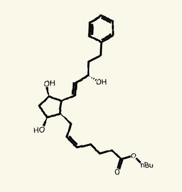 CCCCOC(=O)CCC/C=C\C[C@@H]1C(/C=C/[C@@H](O)CCc2ccccc2)[C@H](O)C[C@@H]1O